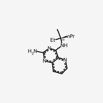 CCC[C@](C)(CC)Nc1nc(N)nc2cccnc12